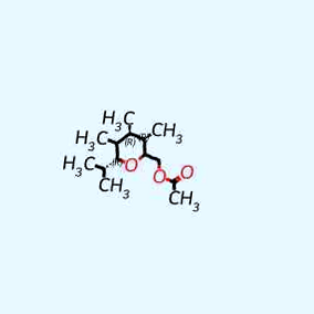 CC(=O)OCC1O[C@H](C(C)C)C(C)[C@@H](C)[C@H]1C